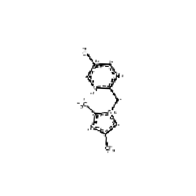 Cc1nc(C(F)(F)F)cn1Cc1ncc(Cl)cn1